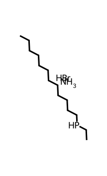 Br.CCCCCCCCCCCCPCC.N